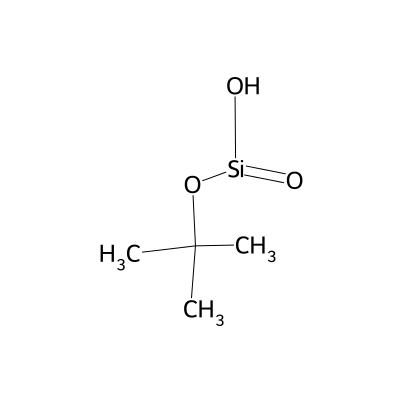 CC(C)(C)O[Si](=O)O